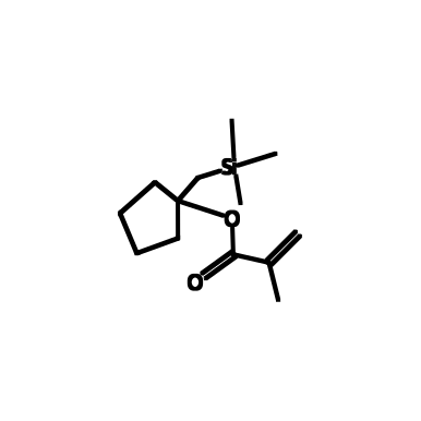 C=C(C)C(=O)OC1(C[Si](C)(C)C)CCCC1